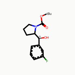 CC(C)(C)OC(=O)N1CCCC1[C@@H](O)c1cccc(F)c1